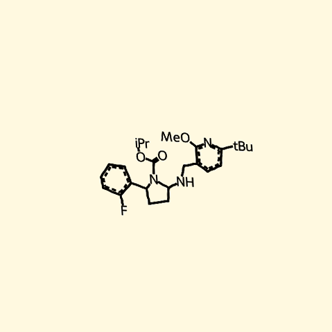 COc1nc(C(C)(C)C)ccc1CNC1CCC(c2ccccc2F)N1C(=O)OC(C)C